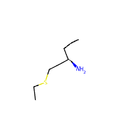 CCSC[C@H](N)CC